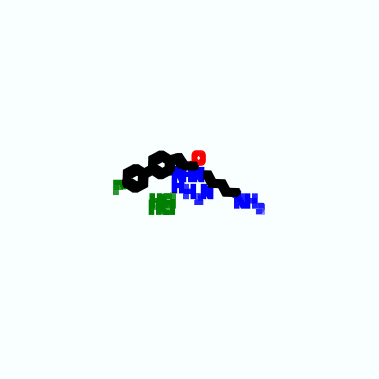 Cl.Cl.NCCC[C@H](N)CNC(=O)c1cc2ccc(-c3ccc(F)cc3)cc2[nH]1